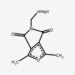 CCCCCCCCN1C(=O)c2c(C)oc(C)c2C1=O